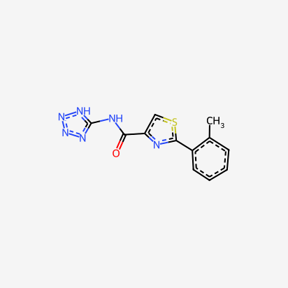 Cc1ccccc1-c1nc(C(=O)Nc2nnn[nH]2)cs1